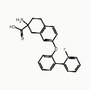 NC1(C(=O)O)CCc2ccc(Oc3ccccc3-c3ccccc3F)cc2C1